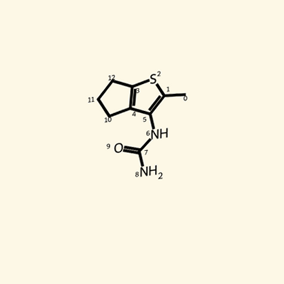 Cc1sc2c(c1NC(N)=O)CCC2